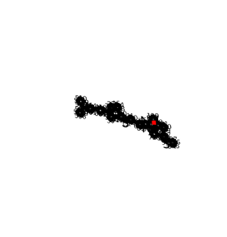 c1ccc(-c2nc3cc(-c4ccc5c(c4)sc4cc6c(cc45)-c4cccc5ccc7c(c45)c4c-6cccc4n7-c4ccc(-c5ccc(N(c6ccccc6)c6ccccc6)cc5)cc4)ccc3nc2-n2c3cccc4c3c3c5c(cccc5ccc32)-c2cc3c(cc2-4)sc2ccccc23)cc1